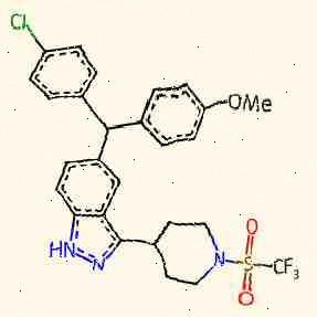 COc1ccc(C(c2ccc(Cl)cc2)c2ccc3[nH]nc(C4CCN(S(=O)(=O)C(F)(F)F)CC4)c3c2)cc1